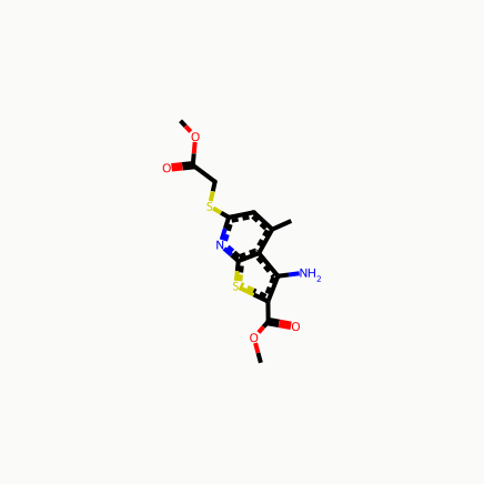 COC(=O)CSc1cc(C)c2c(N)c(C(=O)OC)sc2n1